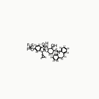 O=S(=NCC1CC1)(N[C@H]1CCCC(SN2c3ccccc3CCc3ccccc32)[C@@H]1O)c1ccc(OC(F)(F)F)cc1